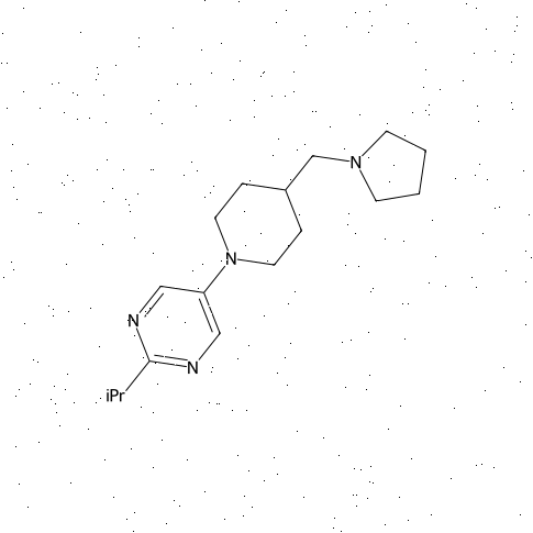 CC(C)c1ncc(N2CCC(CN3CCCC3)CC2)cn1